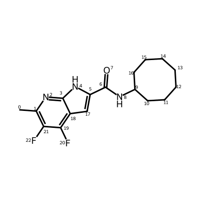 Cc1nc2[nH]c(C(=O)NC3CCCCCCC3)cc2c(F)c1F